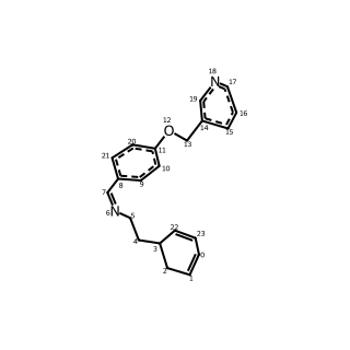 C1=CCC(CC/N=C\c2ccc(OCc3cccnc3)cc2)C=C1